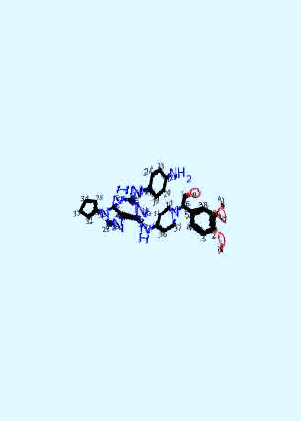 COc1ccc(C(C=O)N2CCC(Nc3nc(NC4CCC(N)CC4)nc4c3ncn4C3CCCC3)CC2)cc1OC